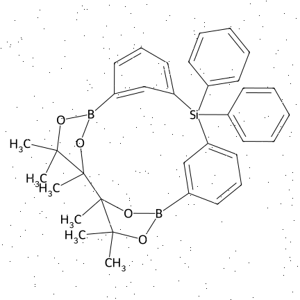 CC1(C)OB2OC1(C)C1(C)OB(OC1(C)C)c1cccc(c1)[Si](c1ccccc1)(c1ccccc1)c1cccc2c1